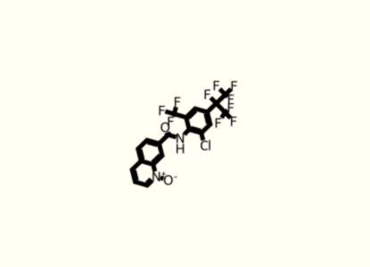 O=C(Nc1c(Cl)cc(C(F)(C(F)(F)F)C(F)(F)F)cc1C(F)(F)F)c1ccc2ccc[n+]([O-])c2c1